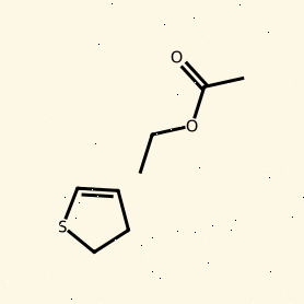 C1=CSCC1.CCOC(C)=O